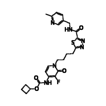 Cc1ccc(CNC(=O)c2nnc(CCCCn3ccc(NC(=O)OC4CCC4)c(F)c3=O)s2)cn1